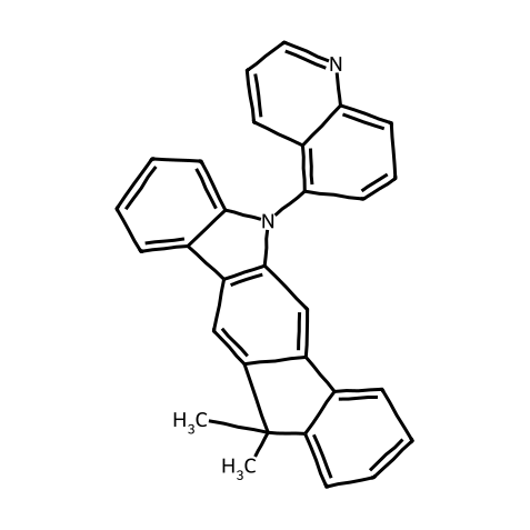 CC1(C)c2ccccc2-c2cc3c(cc21)c1ccccc1n3-c1cccc2ncccc12